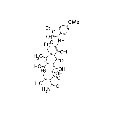 CCOP(=O)(OCC)C(Nc1ccc2c(c1O)C(=O)C1=C(O)[C@]3(O)C(=O)C(C(N)=O)=C(O)C[C@@H]3[C@@H](O)[C@@H]1[C@H]2C)c1ccc(OC)cc1